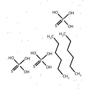 CCCCCC.CCCCCC.OP(O)(O)=S.OP(O)(O)=S.OP(O)(O)=S